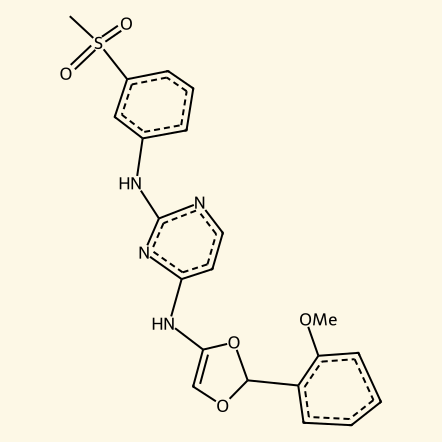 COc1ccccc1C1OC=C(Nc2ccnc(Nc3cccc(S(C)(=O)=O)c3)n2)O1